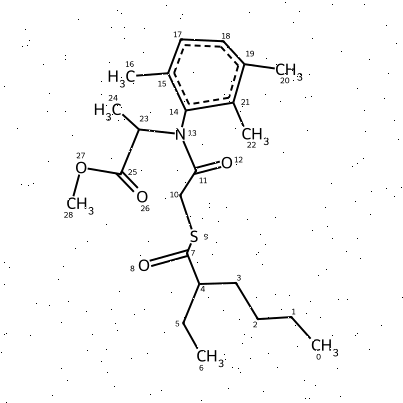 CCCCC(CC)C(=O)SCC(=O)N(c1c(C)ccc(C)c1C)C(C)C(=O)OC